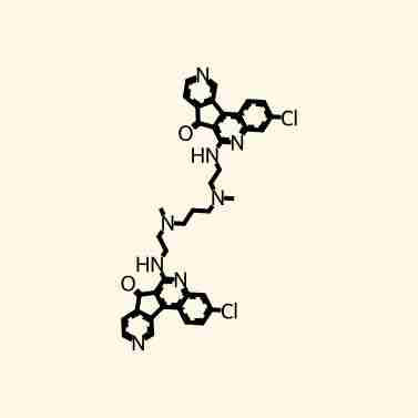 CN(CCCN(C)CCNc1nc2cc(Cl)ccc2c2c1C(=O)c1ccncc1-2)CCNc1nc2cc(Cl)ccc2c2c1C(=O)c1ccncc1-2